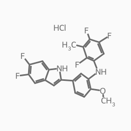 COc1ccc(-c2cc3cc(F)c(F)cc3[nH]2)cc1Nc1cc(F)c(F)c(C)c1F.Cl